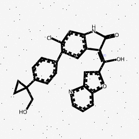 O=C1Nc2cc(Cl)c(-c3ccc(C4(CO)CC4)cc3)cc2/C1=C(/O)c1cc2ncccc2o1